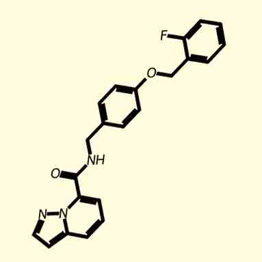 O=C(NCc1ccc(OCc2ccccc2F)cc1)c1cccc2ccnn12